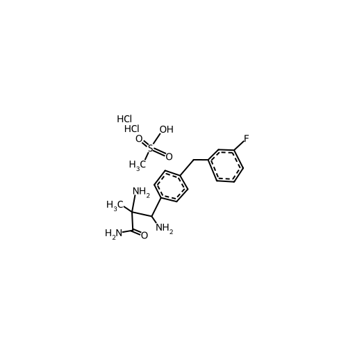 CC(N)(C(N)=O)C(N)c1ccc(Cc2cccc(F)c2)cc1.CS(=O)(=O)O.Cl.Cl